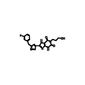 O=c1[nH]c2nc(-c3cnn(Cc4cccc(F)c4)c3)[nH]c2c(=O)n1CCCO